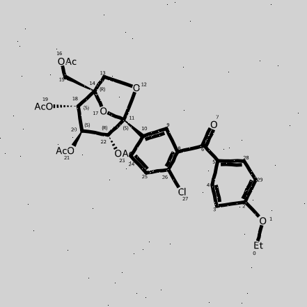 CCOc1ccc(C(=O)c2cc([C@]34OC[C@](COC(C)=O)(O3)[C@@H](OC(C)=O)[C@H](OC(C)=O)[C@H]4OC(C)=O)ccc2Cl)cc1